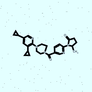 CC1CCC(=O)N1c1ccc(C(=O)N2CCN(c3ncc(C4CC4)cc3C3CC3)CC2)cn1